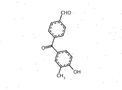 Cc1cc(C(=O)c2ccc(C=O)cc2)ccc1O